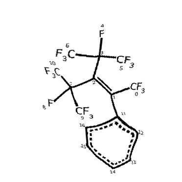 FC(F)(F)C(=C(C(F)(C(F)(F)F)C(F)(F)F)C(F)(C(F)(F)F)C(F)(F)F)c1ccccc1